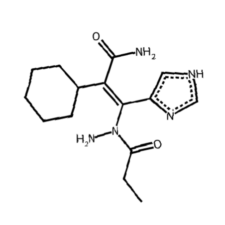 CCC(=O)N(N)C(=C(C(N)=O)C1CCCCC1)c1c[nH]cn1